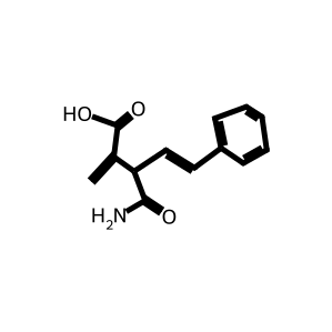 C=C(C(=O)O)C(C=Cc1ccccc1)C(N)=O